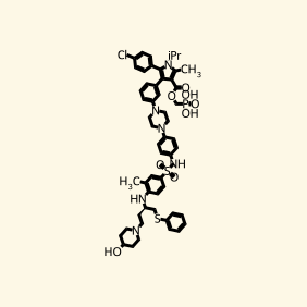 Cc1cc(S(=O)(=O)Nc2ccc(N3CCN(c4cccc(-c5c(C(=O)OCP(=O)(O)O)c(C)n(C(C)C)c5-c5ccc(Cl)cc5)c4)CC3)cc2)ccc1N[C@H](CCN1CCC(O)CC1)CSc1ccccc1